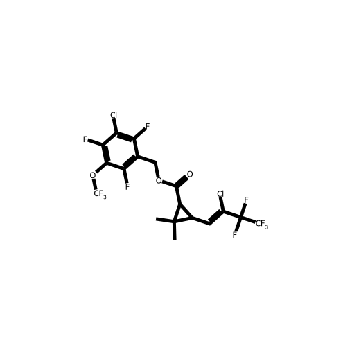 CC1(C)C(C=C(Cl)C(F)(F)C(F)(F)F)C1C(=O)OCc1c(F)c(Cl)c(F)c(OC(F)(F)F)c1F